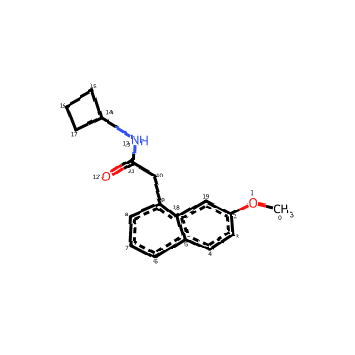 COc1ccc2cccc(CC(=O)NC3CCC3)c2c1